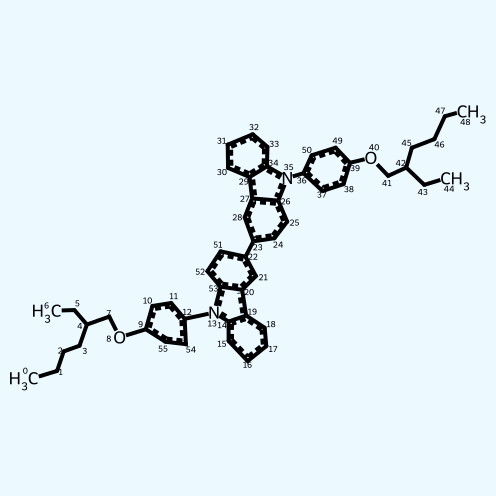 CCCCC(CC)COc1ccc(-n2c3ccccc3c3cc(-c4ccc5c(c4)c4ccccc4n5-c4ccc(OCC(CC)CCCC)cc4)ccc32)cc1